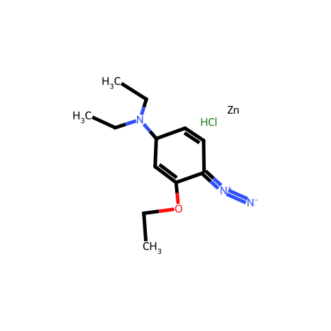 CCOC1=CC(N(CC)CC)C=CC1=[N+]=[N-].Cl.[Zn]